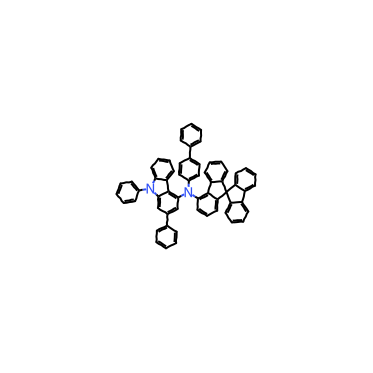 c1ccc(-c2ccc(N(c3cccc4c3-c3ccccc3C43c4ccccc4-c4ccccc43)c3cc(-c4ccccc4)cc4c3c3ccccc3n4-c3ccccc3)cc2)cc1